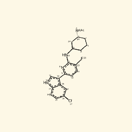 CC(=O)N[C@@H]1CCCC(Nc2nc(-c3c[nH]c4ncc(Cl)cc34)ncc2F)C1